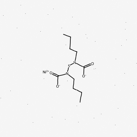 CCCCN(SN(CCCC)C(=O)[O-])C(=O)[O-].[Ni+2]